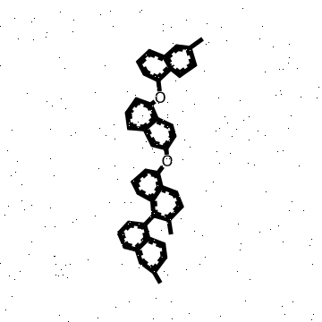 Cc1ccc2c(Oc3cccc4cc(Oc5cccc6c(-c7cccc8cc(C)ccc78)c(C)ccc56)ccc34)cccc2c1